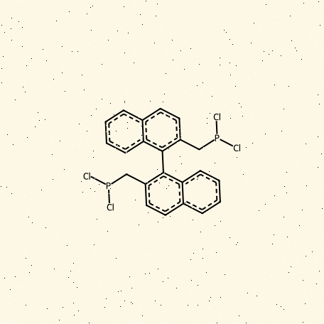 ClP(Cl)Cc1ccc2ccccc2c1-c1c(CP(Cl)Cl)ccc2ccccc12